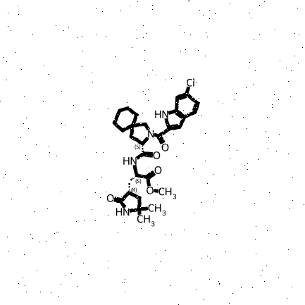 COC(=O)[C@H](C[C@@H]1CC(C)(C)NC1=O)NC(=O)[C@@H]1CC2(CCCCC2)CN1C(=O)c1cc2ccc(Cl)cc2[nH]1